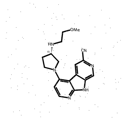 COCCN[C@H]1CCN(c2ccnc3[nH]c4cnc(C#N)cc4c23)C1